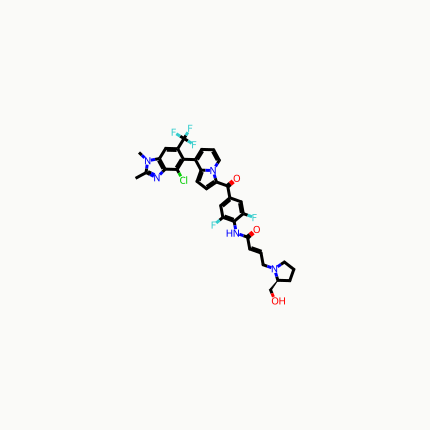 Cc1nc2c(Cl)c(-c3cccn4c(C(=O)c5cc(F)c(NC(=O)/C=C/CN6CCC[C@H]6CO)c(F)c5)ccc34)c(C(F)(F)F)cc2n1C